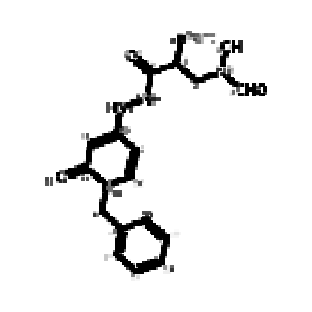 CCCCCC(CN(O)C=O)C(=O)NNc1ccn(Cc2ccccc2)c(=O)c1